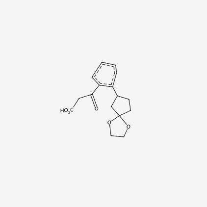 O=C(O)CC(=O)c1ccccc1C1CCC2(C1)OCCO2